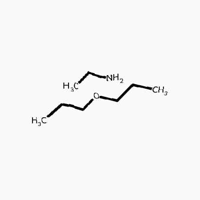 CCCOCCC.CCN